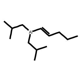 CCC/C=[CH]/[Al]([CH2]C(C)C)[CH2]C(C)C